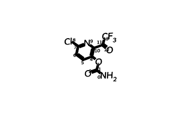 NC(=O)Oc1ccc(Cl)nc1C(=O)C(F)(F)F